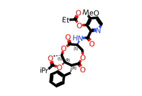 CCC(=O)Oc1c(OC)ccnc1C(=O)N[C@H]1COC(=O)[C@H](Cc2ccccc2)[C@@H](OC(=O)C(C)C)[C@H](C)OC1=O